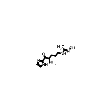 C/C(=N\O)NCCCC(N)C(=O)c1ncc[nH]1